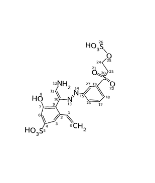 C=Cc1cc(S(=O)(=O)O)cc(O)c1C(=C/N)/N=N/c1cccc(S(=O)(=O)CCOS(=O)(=O)O)c1